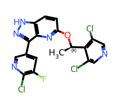 C[C@@H](Oc1ccc2[nH]nc(-c3cnc(Cl)c(F)c3)c2n1)c1c(Cl)cncc1Cl